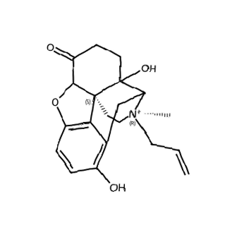 C=CC[N@@+]1(C)CC[C@@]23c4c5ccc(O)c4CC1C2(O)CCC(=O)C3O5